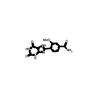 COc1cc(C(N)=O)ccc1-c1nc2[nH]c(=O)[nH]c(=O)c2[nH]1